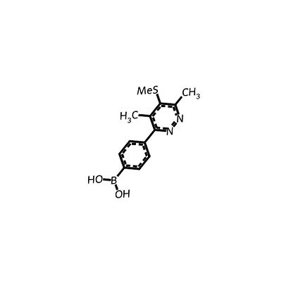 CSc1c(C)nnc(-c2ccc(B(O)O)cc2)c1C